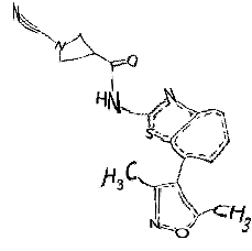 Cc1noc(C)c1-c1cccc2nc(NC(=O)C3CN(C#N)C3)sc12